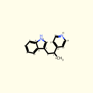 CC(Cc1c[nH]c2ccccc12)c1ccncc1